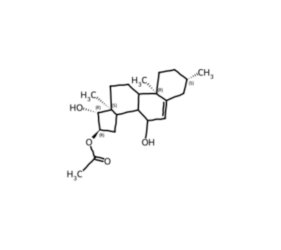 CC(=O)O[C@@H]1CC2C3C(O)C=C4C[C@@H](C)CC[C@]4(C)C3CC[C@]2(C)[C@H]1O